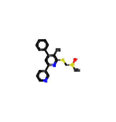 CCCC[S+]([O-])CSc1nc(-c2cccnc2)cc(-c2ccccc2)c1C#N